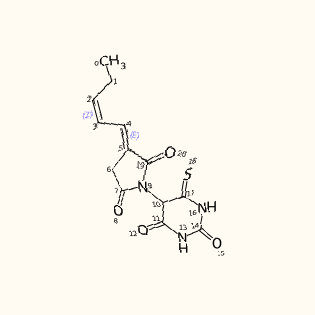 CC/C=C\C=C1/CC(=O)N(C2C(=O)NC(=O)NC2=S)C1=O